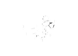 CCC(C)OC(C)C(=O)OC(C)C(=O)C(C)(CC)OCC(ON1C(C)(C)CCCC1(C)C)c1ccccc1